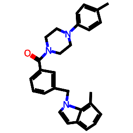 Cc1ccc(N2CCN(C(=O)c3cccc(Cn4ccc5cccc(C)c54)c3)CC2)cc1